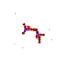 c1ccc(-c2ccc(-c3nc(-c4ccc(-c5cccc(-c6ccc(-c7ccc(-c8ccc(-c9nc(-c%10ccc(-c%11ccccc%11)cc%10)nc(-c%10ccc(-c%11ccccc%11)cc%10)n9)c9c8oc8ccccc89)cc7)cc6)c5)cc4)nc(-c4cccc5oc6c(-c7ccc(-c8ccccc8)cc7)cccc6c45)n3)cc2)cc1